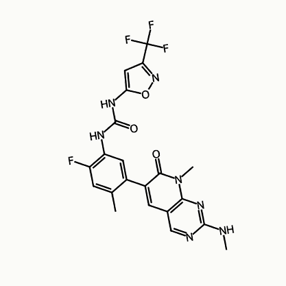 CNc1ncc2cc(-c3cc(NC(=O)Nc4cc(C(F)(F)F)no4)c(F)cc3C)c(=O)n(C)c2n1